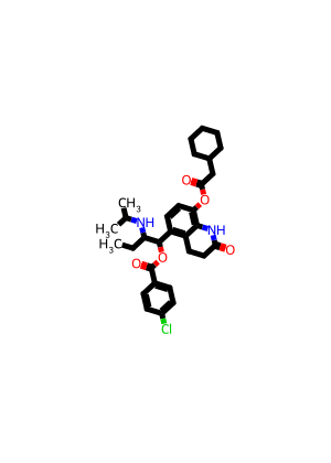 CCC(NC(C)C)C(OC(=O)c1ccc(Cl)cc1)c1ccc(OC(=O)CC2CCCCC2)c2c1CCC(=O)N2